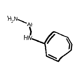 [NH2][Al][NH]c1ccccc1